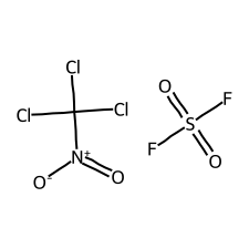 O=S(=O)(F)F.O=[N+]([O-])C(Cl)(Cl)Cl